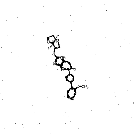 COc1ccccc1-c1ccc(-c2nc3nc(OC4CO[C@@H]5CCO[C@H]45)[nH]c3cc2Cl)cc1